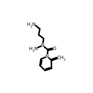 C=C1C=CC=CN1C(=O)N(N)CCCN